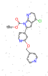 CC(C)(C)OC(=O)n1c(-c2ccnc(OCc3ccncc3)c2)cc2c(Cl)ccnc21